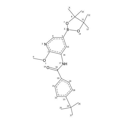 COc1ncc(B2OC(C)(C)C(C)(C)O2)cc1NC(=O)c1ccc(C(C)(C)C)cc1